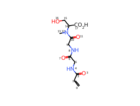 C=CC(=O)NCC(=O)NCC(=O)N(C)C(CO)C(=O)O